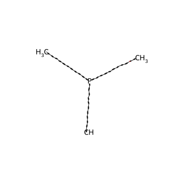 C#CC#CC#CC#CC#CC#CC#CC#CC#CC#CC#CP(C#CC#CC#CC#CC#CC#CC#CC#CC#CC#CC#CC)C#CC#CC#CC#CC#CC#CC#CC#CC#CC#CC#CC